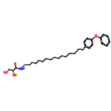 O=C(NCCCCCCCCCCCCCCCCc1ccc(Oc2ccccc2)cc1)C(O)CO